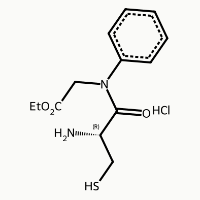 CCOC(=O)CN(C(=O)[C@@H](N)CS)c1ccccc1.Cl